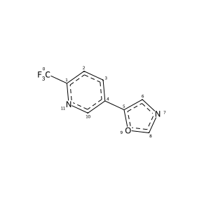 FC(F)(F)c1ccc(-c2cnco2)cn1